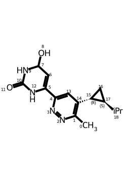 Cc1nnc(C2=CC(O)NC(=O)N2)cc1[C@@H]1C[C@H]1C(C)C